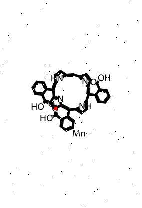 O=C(O)c1ccccc1-c1c2nc(c(-c3ccccc3C(=O)O)c3ccc([nH]3)c(-c3ccccc3C(=O)O)c3nc(cc4ccc1[nH]4)C=C3)C=C2.[Mn]